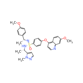 COc1ccc([C@@H](C)N=[S@@](=O)(N[C@@H](C)c2ccnn2C)c2ccc(Oc3ccnc4cc(OC)ccc34)cc2)cc1